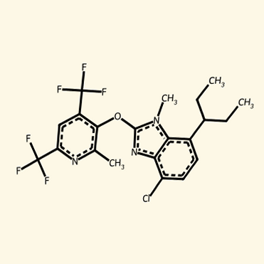 CCC(CC)c1ccc(Cl)c2nc(Oc3c(C(F)(F)F)cc(C(F)(F)F)nc3C)n(C)c12